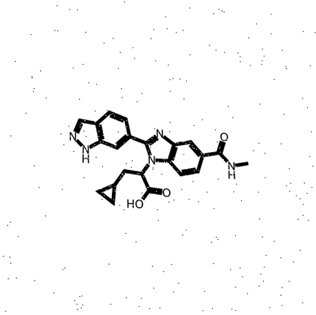 CNC(=O)c1ccc2c(c1)nc(-c1ccc3cn[nH]c3c1)n2C(CC1CC1)C(=O)O